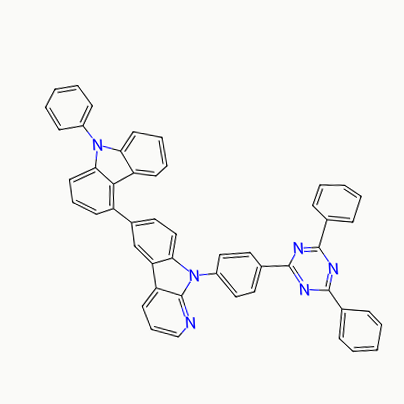 c1ccc(-c2nc(-c3ccccc3)nc(-c3ccc(-n4c5ccc(-c6cccc7c6c6ccccc6n7-c6ccccc6)cc5c5cccnc54)cc3)n2)cc1